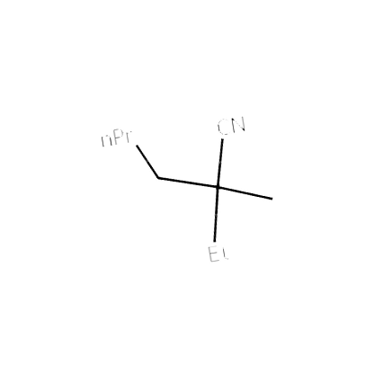 [CH2]CC(C)(C#N)CCCC